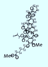 C=CCOC(=O)N1c2cc(OCCCCCC(=O)OC)c(OC)cc2C(=O)N2CC=C(c3ccc(S(=O)(=O)N(C)C4CCCCO4)cc3)C[C@H]2C1OC1CCCCO1